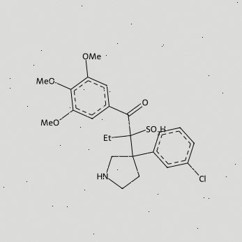 CCC(C(=O)c1cc(OC)c(OC)c(OC)c1)(C1(c2cccc(Cl)c2)CCNC1)S(=O)(=O)O